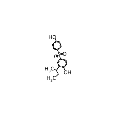 CCC(C)c1cc(S(=O)(=O)c2ccc(O)cc2)ccc1O